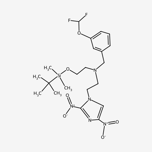 CC(C)(C)[Si](C)(C)OCCN(CCn1cc([N+](=O)[O-])nc1[N+](=O)[O-])Cc1cccc(OC(F)F)c1